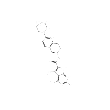 Cc1nc(C)c2c(N)c(C(=O)NC3CCc4nc(N5CCNCC5)ccc4C3)sc2n1